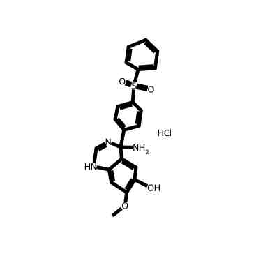 COc1cc2c(cc1O)C(N)(c1ccc(S(=O)(=O)c3ccccc3)cc1)N=CN2.Cl